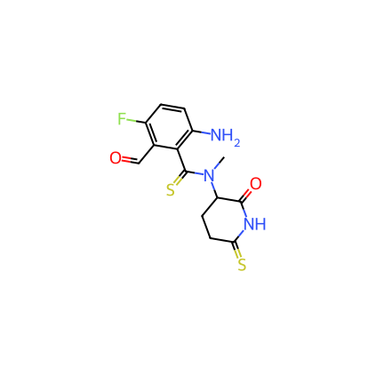 CN(C(=S)c1c(N)ccc(F)c1C=O)C1CCC(=S)NC1=O